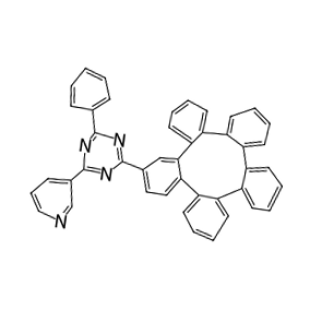 c1ccc(-c2nc(-c3cccnc3)nc(-c3ccc4c5ccccc5c5ccccc5c5ccccc5c5ccccc5c4c3)n2)cc1